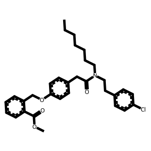 CCCCCCCN(CCc1ccc(Cl)cc1)C(=O)Cc1ccc(OCc2ccccc2C(=O)OC)cc1